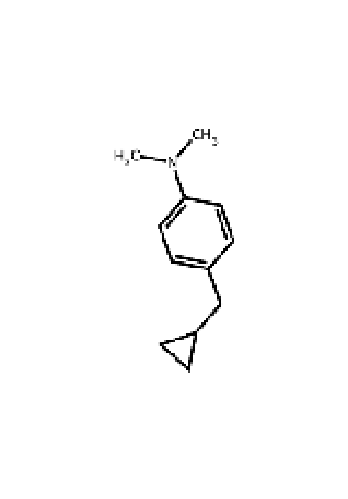 CN(C)c1ccc(CC2CC2)cc1